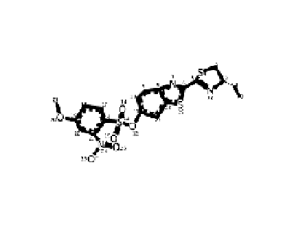 CC[C@H]1CSC(c2nc3ccc(OS(=O)(=O)c4ccc(OC)cc4[N+](=O)[O-])cc3s2)=N1